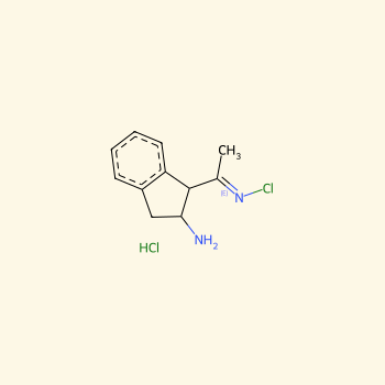 C/C(=N\Cl)C1c2ccccc2CC1N.Cl